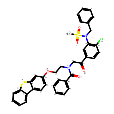 CS(=O)(=O)N(Cc1ccccc1)c1cc(C(=O)CN(CCOc2ccc3c(c2)sc2ccccc23)C(=O)c2ccccc2)ccc1Cl